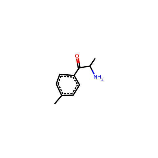 Cc1ccc(C(=O)C(C)N)cc1